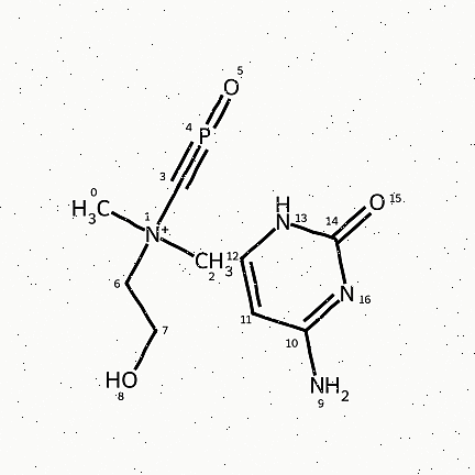 C[N+](C)(C#P=O)CCO.Nc1cc[nH]c(=O)n1